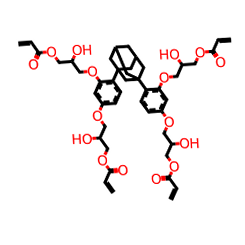 C=CC(=O)OCC(O)COc1ccc(C23CC4CC(C2)CC(c2ccc(OCC(O)COC(=O)C=C)cc2OCC(O)COC(=O)C=C)(C4)C3)c(OCC(O)COC(=O)C=C)c1